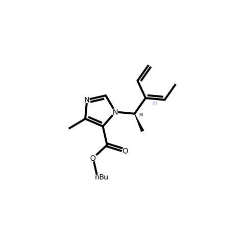 C=C/C(=C\C)[C@@H](C)n1cnc(C)c1C(=O)OCCCC